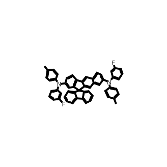 Cc1ccc(N(c2cccc(F)c2)c2ccc3c(c2)C2(c4ccccc4-c4ccccc42)c2cc4cc(N(c5ccc(C)cc5)c5cccc(F)c5)ccc4cc2-3)cc1